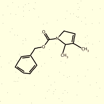 CC1=CCN(C(=O)OCc2ccccc2)C1C